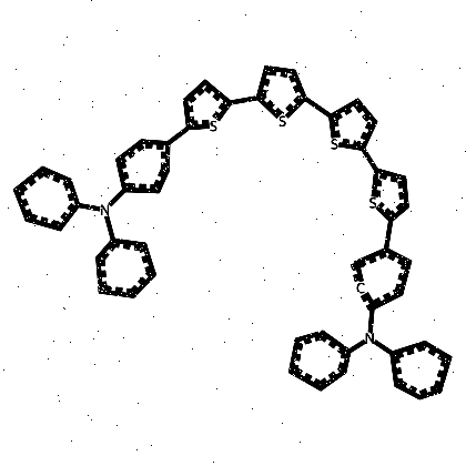 c1ccc(N(c2ccccc2)c2ccc(-c3ccc(-c4ccc(-c5ccc(-c6ccc(-c7ccc(N(c8ccccc8)c8ccccc8)cc7)s6)s5)s4)s3)cc2)cc1